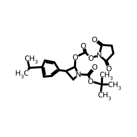 CC(C)c1ccc(C2CN(C(=O)OC(C)(C)C)C2OC(=O)ON2C(=O)CCC2=O)cc1